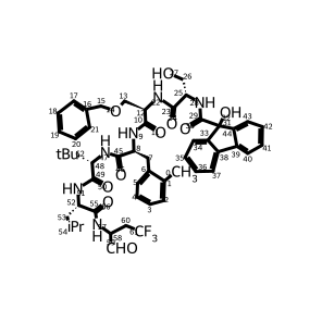 Cc1ccccc1C[C@H](NC(=O)[C@@H](COCc1ccccc1)NC(=O)[C@H](CO)NC(=O)C1(O)c2ccccc2-c2ccccc21)C(=O)N[C@H](C(=O)N[C@@H](CC(C)C)C(=O)NC(C=O)CC(F)(F)F)C(C)(C)C